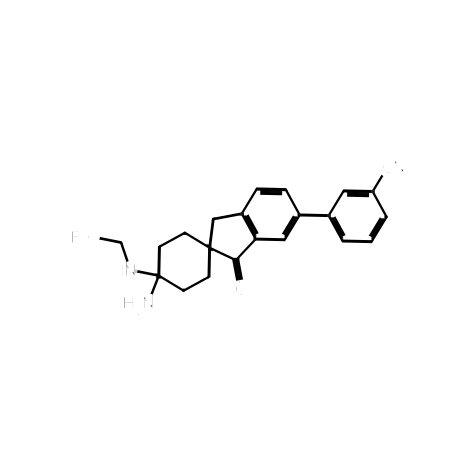 N#Cc1cccc(-c2ccc3c(c2)C(=O)C2(CCC(N)(NCC(F)(F)F)CC2)C3)c1